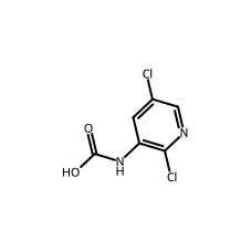 O=C(O)Nc1cc(Cl)cnc1Cl